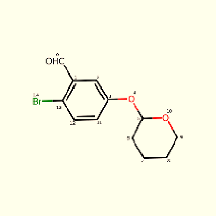 O=Cc1cc(OC2CCCCO2)ccc1Br